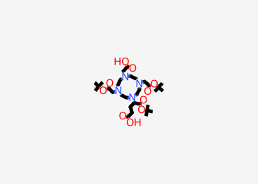 CC(C)(C)OC(=O)CN1CCN(CC(=O)O)CCN(CC(=O)OC(C)(C)C)CCN(C(CCC(=O)O)C(=O)OC(C)(C)C)CC1